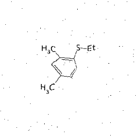 CCSc1ccc(C)cc1C